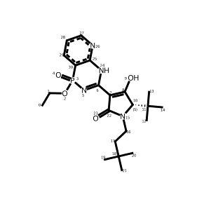 CCOP1(=O)N=C(C2=C(O)[C@H](C(C)(C)C)N(CCC(C)(C)C)C2=O)Nc2ncccc21